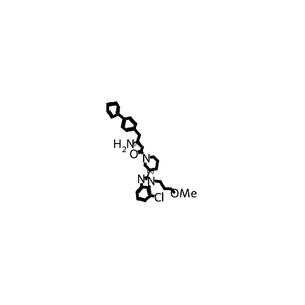 COCCCn1c([C@@H]2CCCN(C(=O)C[C@H](N)Cc3ccc(-c4ccccc4)cc3)C2)nc2cccc(Cl)c21